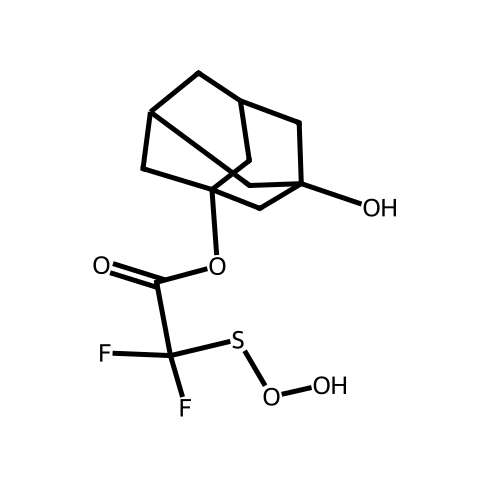 O=C(OC12CC3CC(CC(O)(C3)C1)C2)C(F)(F)SOO